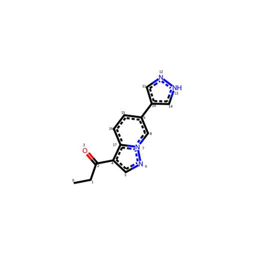 CCC(=O)c1cnn2cc(-c3cn[nH]c3)ccc12